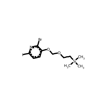 C[Si](C)(C)CCOCOc1ccc(I)nc1Br